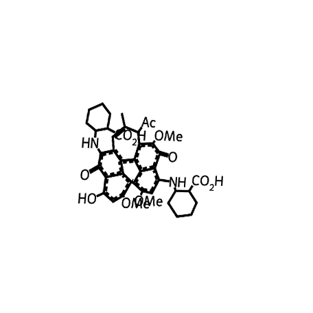 COc1c2c3c4c(c(NC5CCCCC5C(=O)O)c(=O)c5c(O)cc(OC)c(c6c(OC)cc(NC7CCCCC7C(=O)O)c(c1=O)c63)c54)C=C(C)C2C(C)=O